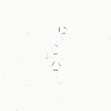 CCc1cc(OCC(F)(F)F)cc(C)c1C1C(=O)CC(CC(=O)NCc2cccc(F)c2)C1=O